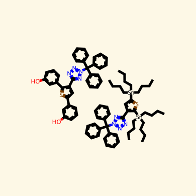 CCC[CH2][Sn]([CH2]CCC)([CH2]CCC)[c]1cc(-c2nnn(C(c3ccccc3)(c3ccccc3)c3ccccc3)n2)[c]([Sn]([CH2]CCC)([CH2]CCC)[CH2]CCC)s1.Oc1cccc(-c2cc(-c3nnn(C(c4ccccc4)(c4ccccc4)c4ccccc4)n3)c(-c3cccc(O)c3)s2)c1